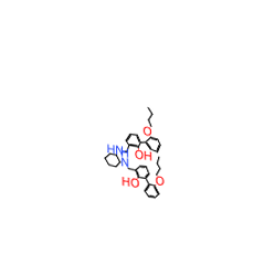 CCCCOc1ccccc1-c1cccc(CN[C@@H]2CCCC[C@H]2NCc2cccc(-c3ccccc3OCCCC)c2O)c1O